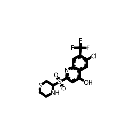 O=S(=O)(c1cc(O)c2cc(Cl)c(C(F)(F)F)cc2n1)C1CSCCN1